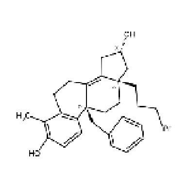 Cc1c(O)ccc2c1CCC1=C3C[C@H](O)C[C@]3(CCCC(C)C)CC[C@@]12Cc1ccccc1